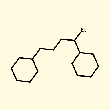 [CH2]CC(CCCC1CCCCC1)C1CCCCC1